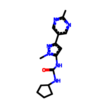 Cc1ncc(-c2cc(NC(=O)NC3CCCC3)n(C)n2)cn1